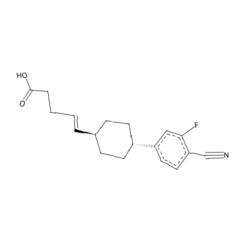 N#Cc1ccc([C@H]2CC[C@H](C=CCCC(=O)O)CC2)cc1F